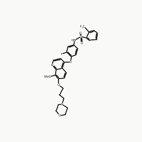 COc1c(OCCCN2CCOCC2)ccc2c(Oc3ccc(NS(=O)(=O)c4ccccc4C(F)(F)F)cc3F)ccnc12